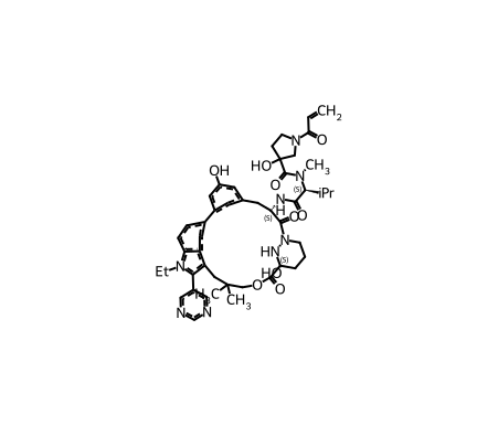 C=CC(=O)N1CCC(O)(C(=O)N(C)[C@H](C(=O)N[C@H]2Cc3cc(O)cc(c3)-c3ccc4c(c3)c(c(-c3cncnc3)n4CC)CC(C)(C)COC(=O)[C@@]3(O)CCCN(N3)C2=O)C(C)C)C1